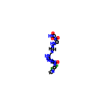 CC1(C)CCN(Cc2cc(F)c(N3CC(=O)NC4(CCN(c5cc(NCCCN6C[C@@H]7CN(CCNc8cccc9c8CN(C8CCC(=O)NC8=O)C9=O)C[C@@H]7C6)ncn5)CC4)C3)cc2F)CC1